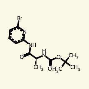 C[C@H](NC(=O)OC(C)(C)C)C(=O)Nc1cccc(Br)n1